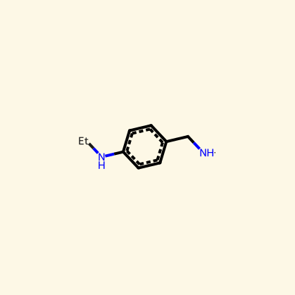 CCNc1ccc(C[NH])cc1